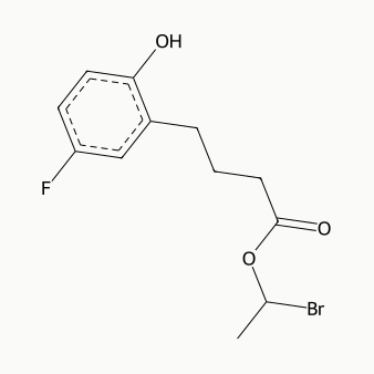 CC(Br)OC(=O)CCCc1cc(F)ccc1O